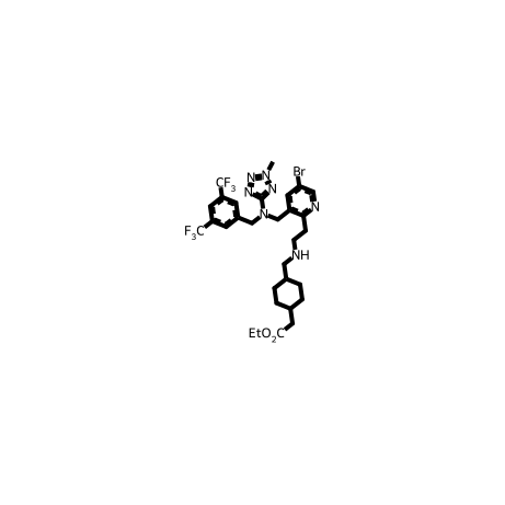 CCOC(=O)CC1CCC(CNCCc2ncc(Br)cc2CN(Cc2cc(C(F)(F)F)cc(C(F)(F)F)c2)c2nnn(C)n2)CC1